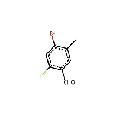 Cc1cc(C=O)c(F)cc1Br